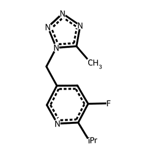 Cc1nnnn1Cc1cnc(C(C)C)c(F)c1